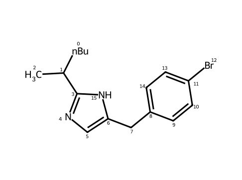 CCCCC(C)c1ncc(Cc2ccc(Br)cc2)[nH]1